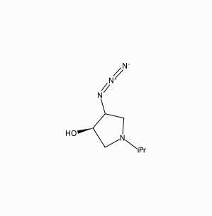 CC(C)N1CC(N=[N+]=[N-])[C@H](O)C1